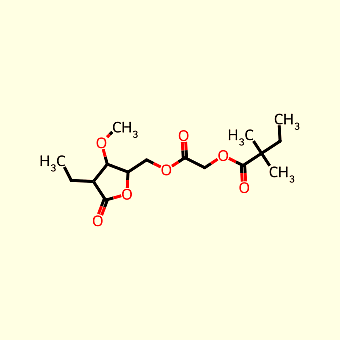 CCC1C(=O)OC(COC(=O)COC(=O)C(C)(C)CC)C1OC